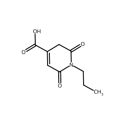 CCCN1C(=O)C=C(C(=O)O)CC1=O